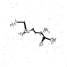 CC[S+]([O-])CC[C@H](N)C(=O)O